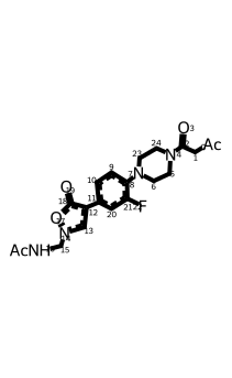 CC(=O)CC(=O)N1CCN(c2ccc(-c3cn(CNC(C)=O)oc3=O)cc2F)CC1